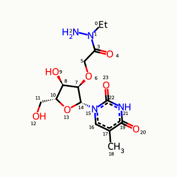 CCN(N)C(=O)CO[C@@H]1[C@H](O)[C@@H](CO)O[C@H]1n1cc(C)c(=O)[nH]c1=O